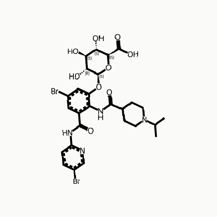 CC(C)N1CCC(C(=O)Nc2c(O[C@@H]3O[C@H](C(=O)O)[C@@H](O)[C@H](O)[C@H]3O)cc(Br)cc2C(=O)Nc2ccc(Br)cn2)CC1